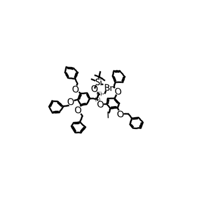 CC(C)(C)[Si](C)(C)O[C@H](CBr)[C@@H](Oc1cc(OCc2ccccc2)cc(OCc2ccccc2)c1I)c1cc(OCc2ccccc2)c(OCc2ccccc2)c(OCc2ccccc2)c1